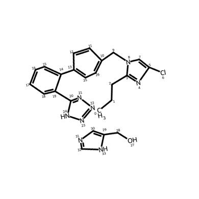 CCCc1nc(Cl)cn1Cc1ccc(-c2ccccc2-c2nnn[nH]2)cc1.OCc1cnc[nH]1